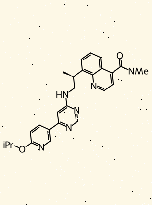 CNC(=O)c1ccnc2c([C@H](C)CNc3cc(-c4ccc(OC(C)C)nc4)ncn3)cccc12